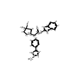 Cn1nnc(-c2ccc([C@@H](C(=O)Nc3nc4ccccc4s3)[C@H]3CCC(F)(F)C3)cc2)n1